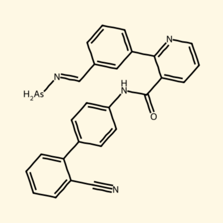 N#Cc1ccccc1-c1ccc(NC(=O)c2cccnc2-c2cccc(C=N[AsH2])c2)cc1